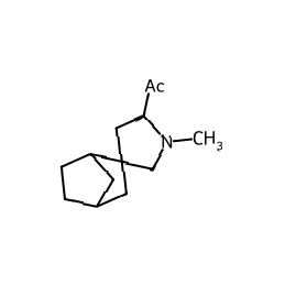 CC(=O)C1CC2(CC3CCC2C3)CN1C